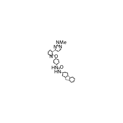 CNc1nccc(-c2cccnc2Oc2ccc(NC(=O)Nc3ccc4c(c3)Cc3ccccc3-4)cc2)n1